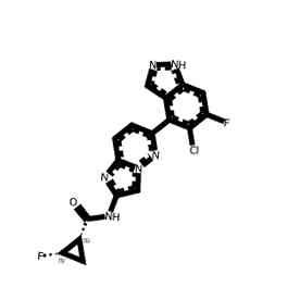 O=C(Nc1cn2nc(-c3c(Cl)c(F)cc4[nH]ncc34)ccc2n1)[C@@H]1C[C@@H]1F